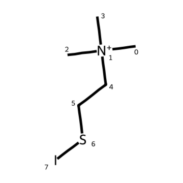 C[N+](C)(C)CCSI